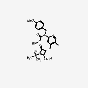 COc1ccc(CN(C(=O)OC(C)(C)C)c2cc(C[C@H]3C(=O)N([Si](C)(C)C(C)(C)C)[C@@H]3C(=O)O)c(F)cn2)cc1